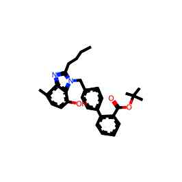 CCCCc1nc2c(C)ccc(O)c2n1Cc1ccc(-c2ccccc2C(=O)OC(C)(C)C)cc1